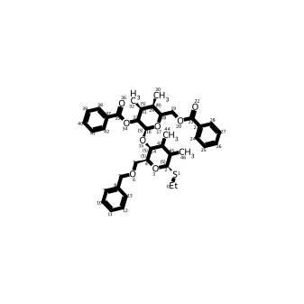 CCS[C@@H]1O[C@@H](COCc2ccccc2)[C@@H](O[C@@H]2OC(COC(=O)c3ccccc3)[C@H](C)[C@H](C)C2OC(=O)c2ccccc2)C(C)C1C